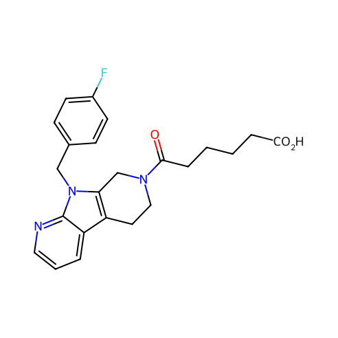 O=C(O)CCCCC(=O)N1CCc2c(n(Cc3ccc(F)cc3)c3ncccc23)C1